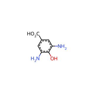 Nc1cc(C(=O)O)cc(N)c1O